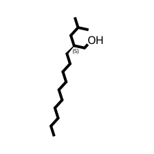 CCCCCCCCCC[C@H](CO)CC(C)C